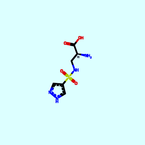 N[C@@H](CNS(=O)(=O)c1cn[nH]c1)C(=O)O